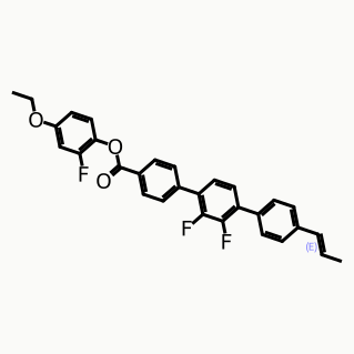 C/C=C/c1ccc(-c2ccc(-c3ccc(C(=O)Oc4ccc(OCC)cc4F)cc3)c(F)c2F)cc1